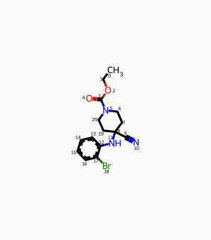 CCOC(=O)N1CCC(C#N)(Nc2ccccc2Br)CC1